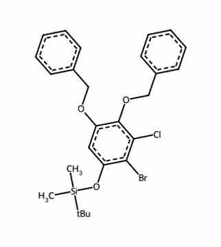 CC(C)(C)[Si](C)(C)Oc1cc(OCc2ccccc2)c(OCc2ccccc2)c(Cl)c1Br